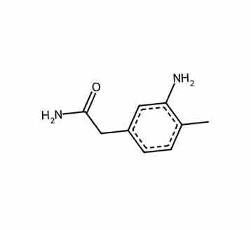 Cc1ccc(CC(N)=O)cc1N